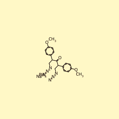 COc1ccc(C(CN=[N+]=[N-])C(=O)C(CN=[N+]=[N-])c2ccc(OC)cc2)cc1.[BH4-].[Na+]